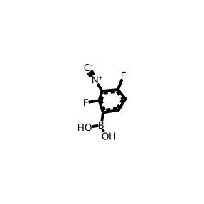 [C-]#[N+]c1c(F)ccc(B(O)O)c1F